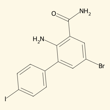 NC(=O)c1cc(Br)cc(-c2ccc(I)cc2)c1N